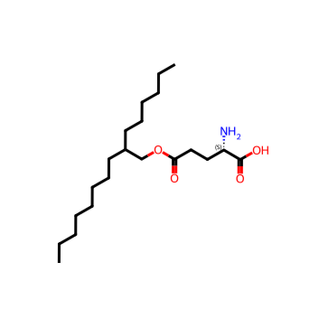 CCCCCCCCC(CCCCCC)COC(=O)CC[C@H](N)C(=O)O